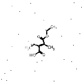 CCOC(=O)/C(C)=C(\CC)C(=O)O